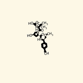 C#Cc1ccc([C@H](COC)NC(=O)[C@@H]2C[C@@H](O)CN2C(=O)[C@@H](NC(=O)O)C(C)(C)C)cc1